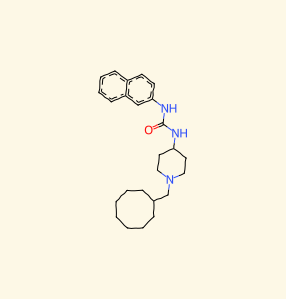 O=C(Nc1ccc2ccccc2c1)NC1CCN(CC2CCCCCCC2)CC1